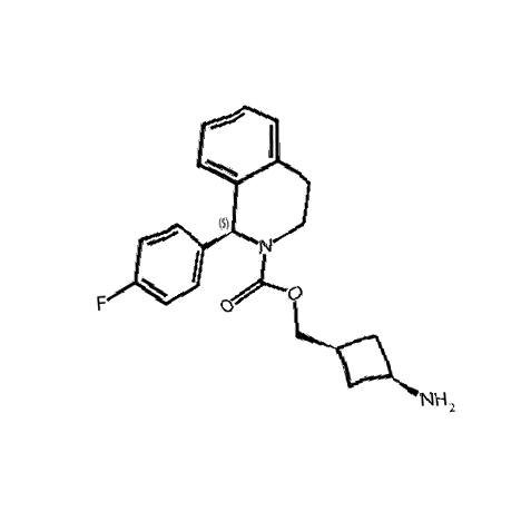 N[C@H]1C[C@@H](COC(=O)N2CCc3ccccc3[C@@H]2c2ccc(F)cc2)C1